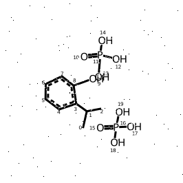 CC(C)c1ccccc1O.O=P(O)(O)O.O=P(O)(O)O